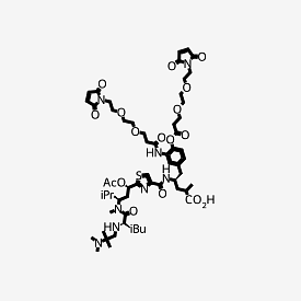 CC[C@H](C)[C@H](NCC(C)(C)N(C)C)C(=O)N(C)[C@H](C[C@@H](OC(C)=O)c1nc(C(=O)N[C@@H](Cc2ccc(OC(=O)CCOCCOCCN3C(=O)C=CC3=O)c(NC(=O)CCOCCOCCN3C(=O)C=CC3=O)c2)CC(C)C(=O)O)cs1)C(C)C